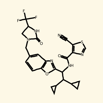 N#Cc1scnc1C(=O)NC(c1nc2cc(CN3CC(C(F)(F)F)NC3=O)ccc2o1)C(C1CC1)C1CC1